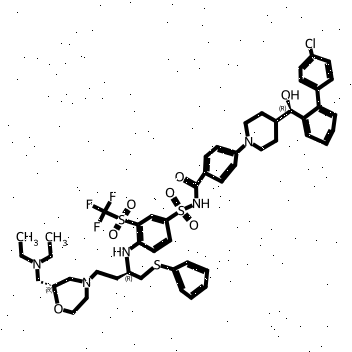 CCN(CC)C[C@@H]1CN(CC[C@H](CSc2ccccc2)Nc2ccc(S(=O)(=O)NC(=O)c3ccc(N4CCC([C@@H](O)c5ccccc5-c5ccc(Cl)cc5)CC4)cc3)cc2S(=O)(=O)C(F)(F)F)CCO1